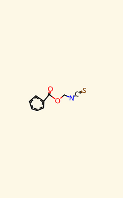 O=C(OCN=C=S)c1ccccc1